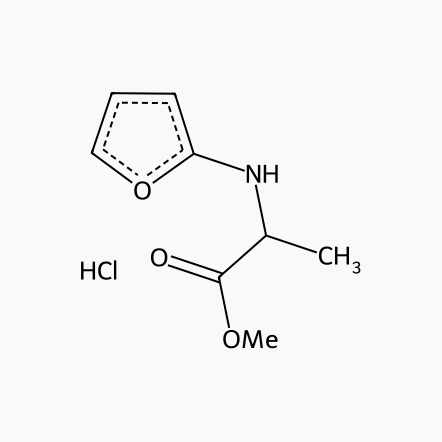 COC(=O)C(C)Nc1ccco1.Cl